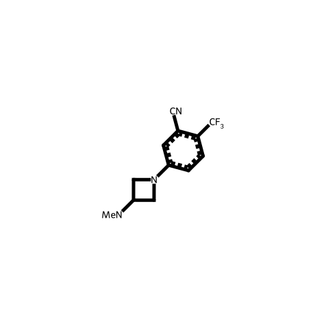 CNC1CN(c2ccc(C(F)(F)F)c(C#N)c2)C1